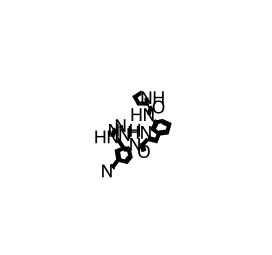 N#Cc1ccc(NC(=O)c2cc3cccc(NC(=O)[C@H]4CCCN4)c3[nH]2)c(-c2nnn[nH]2)c1